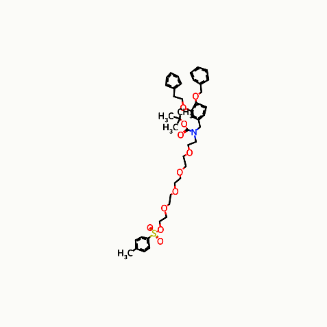 Cc1ccc(S(=O)(=O)OCCOCCOCCOCCOCCN(Cc2ccc(OCc3ccccc3)c(OCCc3ccccc3)c2)C(=O)OC(C)(C)C)cc1